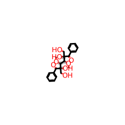 CO[C@@H]([C@H](OC)[C@](O)(CO)C(=O)c1ccccc1)[C@](O)(CO)C(=O)c1ccccc1